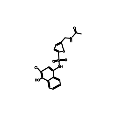 CC(=O)NCc1ccc(S(=O)(=O)Nc2cc(Cl)c(O)c3ccccc23)s1